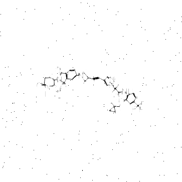 CC1(COc2cc(C(F)(F)F)ccc2NC(=O)C(C)(C)n2cc(C#CC3CN(c4ccc5c(c4)C(=O)N(C4CCC(=O)NC4=O)C5=O)C3)cn2)CC1